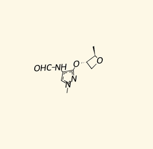 C[C@H]1OC[C@@H]1Oc1nn(C)cc1NC=O